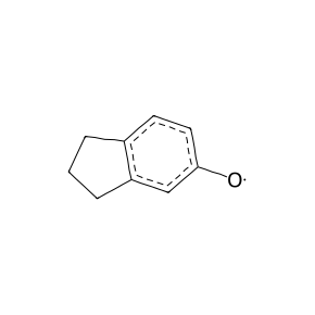 [O]c1ccc2c(c1)CCC2